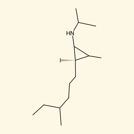 CCC(C)CCC[C@]1(I)C(C)C1NC(C)C